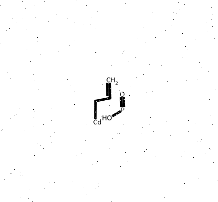 C=C[CH2][Cd].O=PO